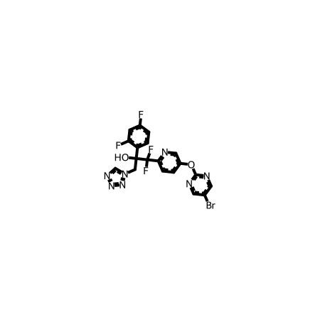 OC(Cn1cnnn1)(c1ccc(F)cc1F)C(F)(F)c1ccc(Oc2ncc(Br)cn2)cn1